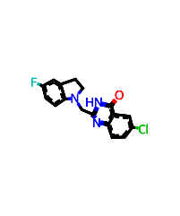 O=c1[nH]c(CN2CCc3cc(F)ccc32)nc2ccc(Cl)cc12